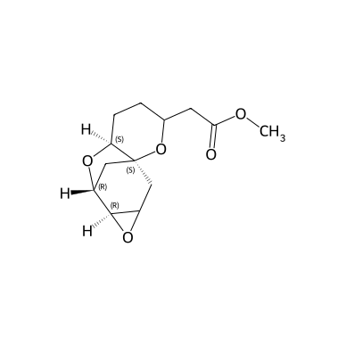 COC(=O)CC1CC[C@@H]2O[C@@H]3C[C@]2(CC2O[C@H]23)O1